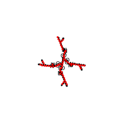 CCCCCC(CCCCC)CCCCCCCn1cc(CCOC(=O)CCN(CCCCN(CCC(=O)OCCc2cn(CCCCCCCC(CCCCC)CCCCC)nn2)CCC(=O)OCCc2cn(CCCCCCCC(CCCCC)CCCCC)nn2)CCC(=O)OCCc2cn(CCCCCCCC(CCCCC)CCCCC)nn2)nn1